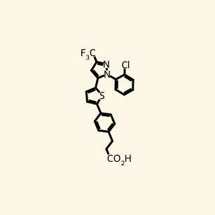 O=C(O)CCc1ccc(-c2ccc(-c3cc(C(F)(F)F)nn3-c3ccccc3Cl)s2)cc1